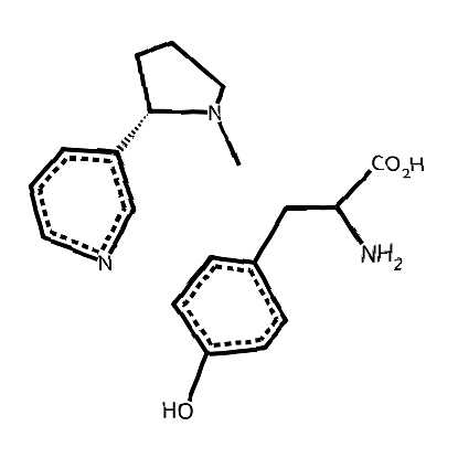 CN1CCC[C@H]1c1cccnc1.NC(Cc1ccc(O)cc1)C(=O)O